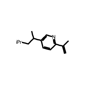 C=C(C)c1ccc(C(C)CC(C)C)cn1